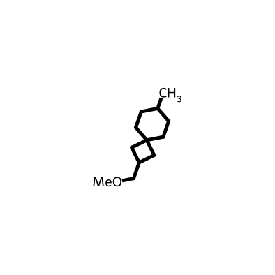 COCC1CC2(CCC(C)CC2)C1